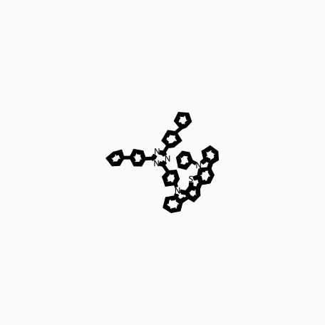 c1ccc(-c2ccc(-c3nc(-c4ccc(-c5ccccc5)cc4)nc(-c4ccc(-n5c6ccccc6c6ccc7c8ccc9c%10ccccc%10n(-c%10ccccc%10)c9c8sc7c65)cc4)n3)cc2)cc1